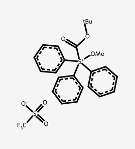 CO[S+](C(=O)OC(C)(C)C)(c1ccccc1)(c1ccccc1)c1ccccc1.O=S(=O)([O-])C(F)(F)F